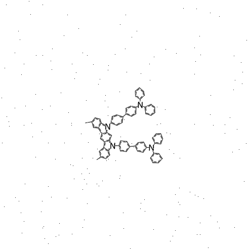 Cc1ccc2c(c1)c1cc3c4cc(C)ccc4n(-c4ccc(-c5ccc(N(c6ccccc6)c6ccccc6)cc5)cc4)c3cc1n2-c1ccc(-c2ccc(N(c3ccccc3)c3ccccc3)cc2)cc1